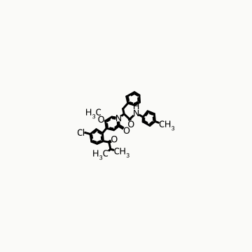 COc1cn(C(Cc2ccccc2)C(=O)Nc2ccc(C)cc2)c(=O)cc1-c1cc(Cl)ccc1C(=O)C(C)C